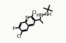 CC(NNC(C)(C)C)c1cc2cc(Cl)c(F)cc2nc1Cl